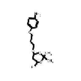 CCC1CC(OCCCOc2ccc(N)cc2)OC(C)(C)O1